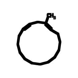 C/C1=C\CCCCCCCCCCC/C=C\C1